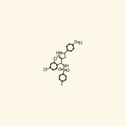 CCOc1ccc(C2CC(C(NS(=O)(=O)c3ccc(C)cc3)c3ccc(Cl)cc3Cl)=NN2)cc1